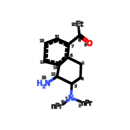 CCCN(CCC)C1CCc2c(C(=O)CC)cccc2C1N